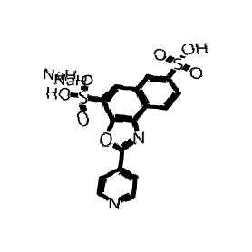 O=S(=O)(O)c1ccc2c(c1)cc(S(=O)(=O)O)c1oc(-c3ccncc3)nc12.[NaH].[NaH]